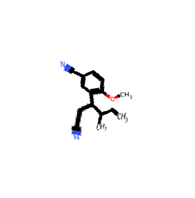 CCC(C)C(CC#N)c1cc(C#N)ccc1OC